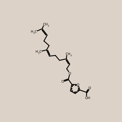 CC(C)=CCCC(C)=CCCC(C)=CCOC(=O)c1ccc(C(=O)O)o1